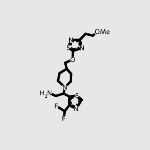 COCCc1nsc(OCC2CCN(C(CN)c3scnc3C(F)F)CC2)n1